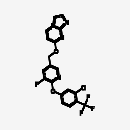 Fc1cc(COc2ccn3ccnc3n2)cnc1Oc1ccc(C(F)(F)F)c(Cl)c1